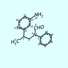 CC(CN(C=O)c1ccccc1)c1cc(N)ccn1